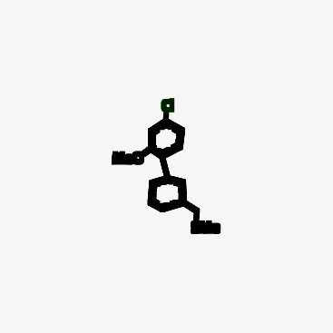 COc1cc(Cl)ccc1-c1cccc(CSC)c1